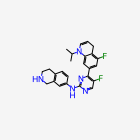 CC(C)N1C=CCc2c(F)cc(-c3nc(Nc4ccc5c(c4)CNCC5)ncc3F)cc21